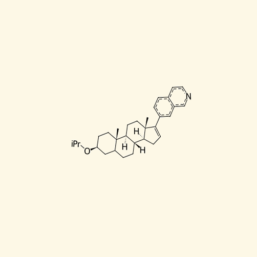 CC(C)O[C@H]1CC[C@@]2(C)C(CC[C@@H]3[C@@H]2CC[C@]2(C)C(c4ccc5ccncc5c4)=CC[C@@H]32)C1